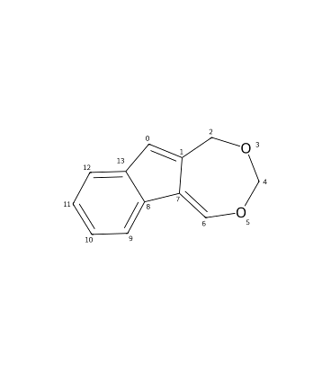 C1=C2COCOC=C2c2ccccc21